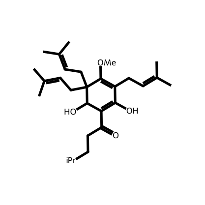 COC1=C(CC=C(C)C)C(O)=C(C(=O)CCC(C)C)C(O)C1(CC=C(C)C)CC=C(C)C